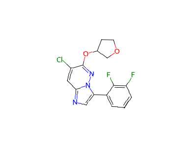 Fc1cccc(-c2cnc3cc(Cl)c(OC4CCOC4)nn23)c1F